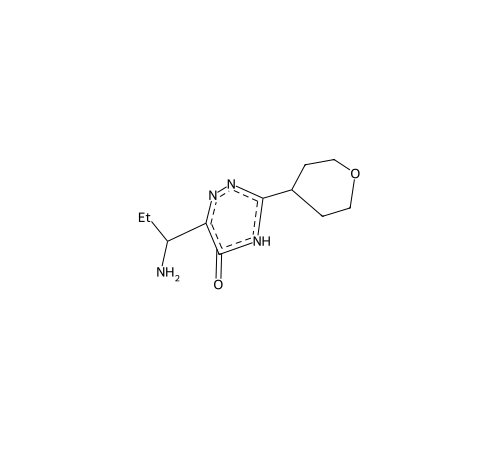 CCC(N)c1nnc(C2CCOCC2)[nH]c1=O